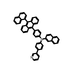 c1cncc(-c2ccc(N(c3ccc(-c4c5ccccc5c(-c5cccc6ccccc56)c5ccccc45)cc3)c3ccc4ccccc4c3)cc2)c1